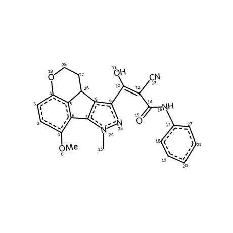 COc1ccc2c3c1-c1c(c(C(O)=C(C#N)C(=O)Nc4ccccc4)nn1C)C3CCO2